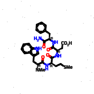 CN[C@H](Cc1c[nH]c2ccccc12)C(=O)N[C@H](CCSC)C(=O)N[C@H](CC(=O)O)C(=O)N[C@H](Cc1ccccc1)C(N)=O